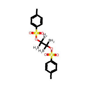 BC(B)(OS(=O)(=O)c1ccc(C)cc1)C(B)(B)OS(=O)(=O)c1ccc(C)cc1